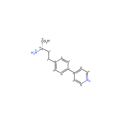 N[C@@H](CCc1ccc(-c2ccncc2)cc1)C(=O)O